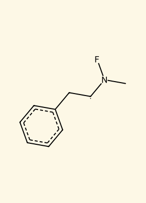 CN(F)[CH]Cc1ccccc1